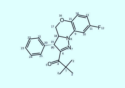 CC(C)(C)C(=O)C1=NN2c3cc(F)ccc3OCC2[C@H]1c1ccccc1